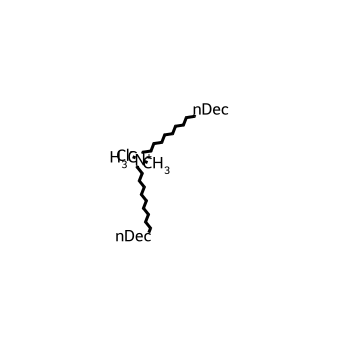 CCCCCCCCCCCCCCCCCCCC[N+](C)(C)CCCCCCCCCCCCCCCCCCCC.[Cl-]